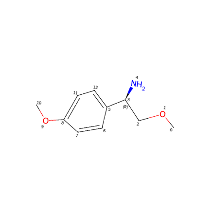 COC[C@H](N)c1ccc(OC)cc1